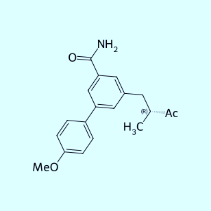 COc1ccc(-c2cc(C[C@@H](C)C(C)=O)cc(C(N)=O)c2)cc1